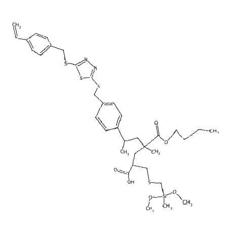 C=Cc1ccc(CSc2nnc(SCc3ccc(C(C)CC(C)(CC(CSC[Si](C)(OC)OC)C(=O)O)C(=O)OCCCC)cc3)s2)cc1